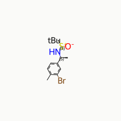 Cc1ccc([C@H](C)N[S@+]([O-])C(C)(C)C)cc1Br